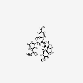 COc1ccc2c(c1)O[C@@H](c1cccc(C(=O)O)c1)C[C@H]2NC(=O)C1(C)CCc2cc(Cl)ccc21